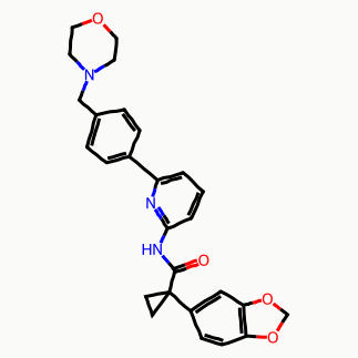 O=C(Nc1cccc(-c2ccc(CN3CCOCC3)cc2)n1)C1(c2ccc3c(c2)OCO3)CC1